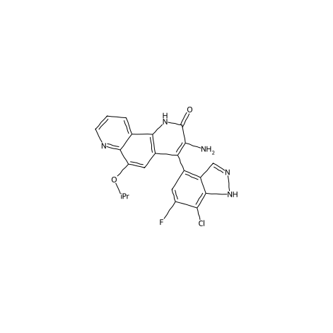 CC(C)Oc1cc2c(-c3cc(F)c(Cl)c4[nH]ncc34)c(N)c(=O)[nH]c2c2cccnc12